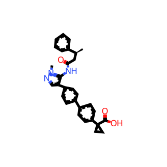 C[C@@H](CC(=O)Nc1c(-c2ccc(-c3ccc(C4(C(=O)O)CC4)cc3)cc2)cnn1C)c1ccccc1